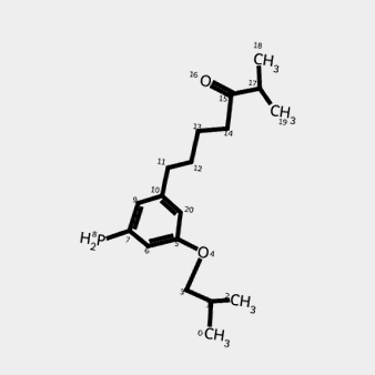 CC(C)COc1cc(P)cc(CCCCC(=O)C(C)C)c1